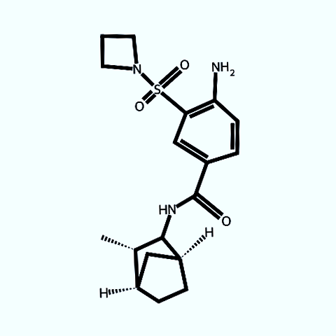 C[C@@H]1C(NC(=O)c2ccc(N)c(S(=O)(=O)N3CCC3)c2)[C@H]2CC[C@@H]1C2